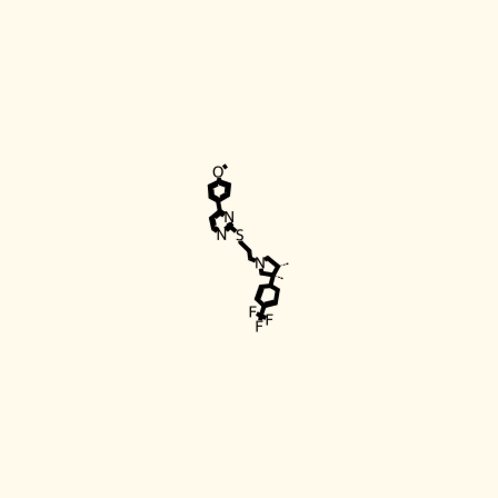 COc1ccc(-c2ccnc(SCCCN3C[C@H](C)[C@@](C)(C4C=CC(C(F)(F)F)=CC4)C3)n2)cc1